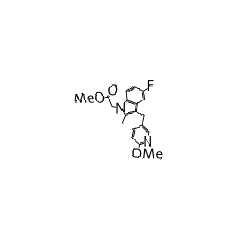 COC(=O)Cn1c(C)c(Cc2ccc(OC)nc2)c2cc(F)ccc21